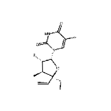 C=C[C@]1(CC)O[C@@H](n2cc(F)c(=O)[nH]c2=O)[C@@H](F)[C@@H]1C